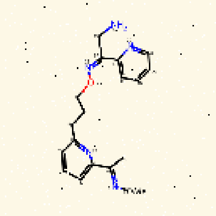 CO/N=C(\C)c1cccc(CCCO/N=C(/CN)c2ccccn2)n1